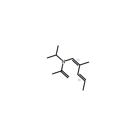 C=C(C)N(/C=C(C)\C=C\C)C(C)C